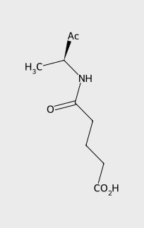 CC(=O)[C@H](C)NC(=O)CCCC(=O)O